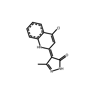 CC1=NNC(=O)C1=C1C=C(Cl)c2ccccc2N1